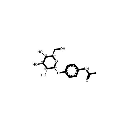 CC(=O)Nc1ccc(O[C@H]2O[C@H](CO)[C@@H](O)[C@H](O)[C@H]2O)cc1